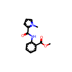 COC(=O)c1ccccc1NC(=O)c1cccn1C